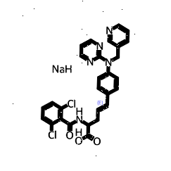 O=C(NC(C/C=C/c1ccc(N(Cc2cccnc2)c2ncccn2)cc1)C(=O)O)c1c(Cl)cccc1Cl.[NaH]